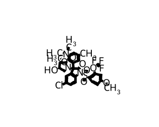 COc1ccc(S(=O)(=O)N2C(=O)C(c3cc(C)ccc3OC)(N3C[C@@H](O)C[C@@H]3C(=O)N(C)C)c3cc(Cl)ccc32)c(OC(F)(F)F)c1